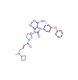 CN(CC=CC(=O)N1CC[C@@H](n2c(=O)n(-c3ccc(Oc4ccccc4)cc3)c3c(N)ncnc32)C1)C1CCC1